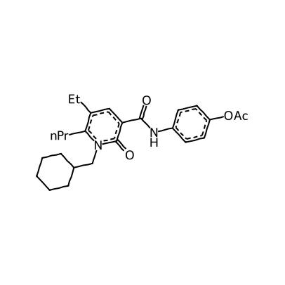 CCCc1c(CC)cc(C(=O)Nc2ccc(OC(C)=O)cc2)c(=O)n1CC1CCCCC1